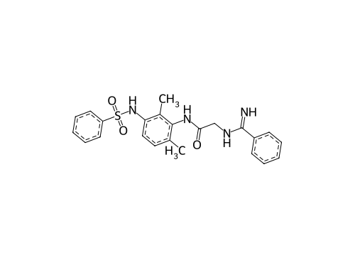 Cc1ccc(NS(=O)(=O)c2ccccc2)c(C)c1NC(=O)CNC(=N)c1ccccc1